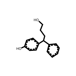 OCCCC(c1ccccc1)c1ccc(O)cc1